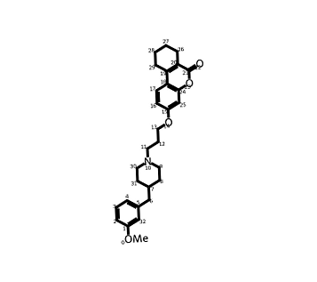 COc1cccc(CC2CCN(CCCOc3ccc4c5c(c(=O)oc4c3)CCCC5)CC2)c1